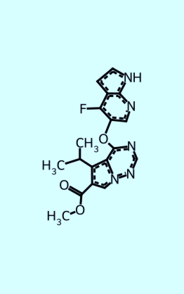 COC(=O)c1cn2ncnc(Oc3cnc4[nH]ccc4c3F)c2c1C(C)C